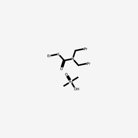 CCSC(=O)N(CC(C)C)CC(C)C.C[As](C)(=O)O